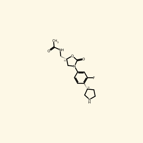 CC(=O)NC[C@H]1CN(c2ccc([C@@H]3CCNC3)c(F)c2)C(=O)O1